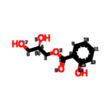 O=C(OC[C@@H](O)CO)c1ccccc1O